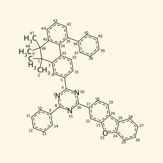 CC1(C)c2cc(-c3nc(-c4ccccc4)nc(-c4ccc5c(c4)oc4ccccc45)n3)ccc2-c2c(-c3ccccc3)cccc2C1(C)C